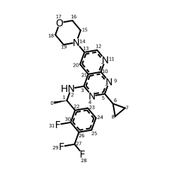 C[C@@H](Nc1nc(C2CC2)nc2ncc(N3CCOCC3)cc12)c1cccc(C(F)F)c1F